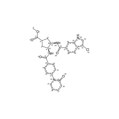 COC(=O)C1C[C@H](NC(=O)c2ccc(-n3ccccc3=O)cc2)[C@H](NC(=O)c2ccc3c(Cl)c[nH]c3c2)C1